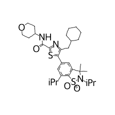 CC(C)c1cc(-c2sc(C(=O)NC3CCOCC3)nc2CC2CCCCC2)cc2c1S(=O)(=O)N(C(C)C)C2(C)C